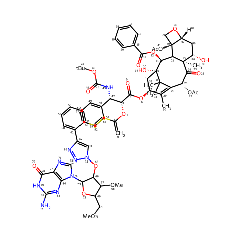 C=C(O[C@@H](C(=O)O[C@H]1C[C@@]2(O)[C@@H](OC(=O)c3ccccc3)C3[C@](C)(C(=O)[C@H](OC(C)=O)C(=C1C)C2(C)C)[C@@H](O)C[C@H]1OC[C@@]31OC(C)=O)[C@@H](NC(=O)OC(C)(C)C)c1ccccc1)SSc1ccccc1-c1cn(OC2C(OC)C(COC)OC2n2cnc3c(=O)[nH]c(N)nc32)nn1